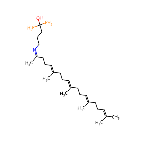 CC(C)=CCC/C(C)=C/CC/C(C)=C/CC/C(C)=C/CC/C(C)=N\CCCC(O)(P)P